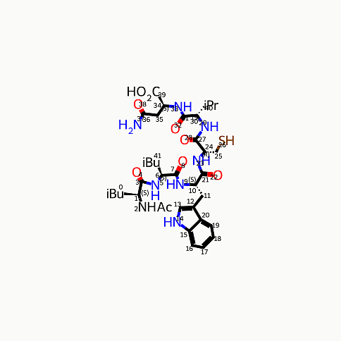 CCC(C)[C@H](NC(C)=O)C(=O)N[C@H](C(=O)N[C@@H](Cc1c[nH]c2ccccc12)C(=O)N[C@@H](CS)C(=O)N[C@H](C(=O)N[C@@H](CC(N)=O)C(=O)O)C(C)C)C(C)CC